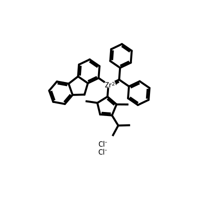 CC1=[C]([Zr+2](=[C](c2ccccc2)c2ccccc2)[c]2cccc3c2Cc2ccccc2-3)C(C)C=C1C(C)C.[Cl-].[Cl-]